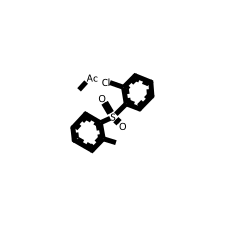 CC(C)=O.Cc1ccccc1S(=O)(=O)c1ccccc1Cl